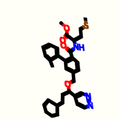 COC(=O)C(CCSC)NC(=O)c1ccc(COC(CCC2CCCCC2)c2ccnnc2)cc1-c1ccccc1C